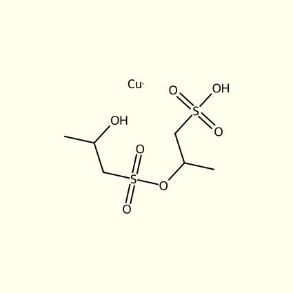 CC(O)CS(=O)(=O)OC(C)CS(=O)(=O)O.[Cu]